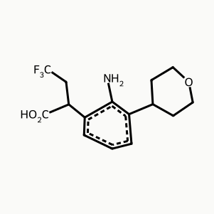 Nc1c(C2CCOCC2)cccc1C(CC(F)(F)F)C(=O)O